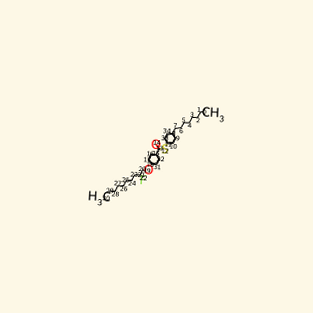 CCCCCCCCc1ccc(SC(=O)c2ccc(OCC(F)CCCCCCCC)cc2)cc1